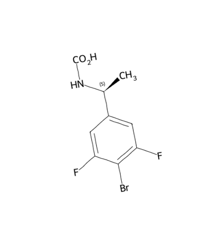 C[C@H](NC(=O)O)c1cc(F)c(Br)c(F)c1